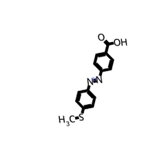 CSc1ccc(/N=N/c2ccc(C(=O)O)cc2)cc1